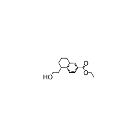 CCOC(=O)c1ccc2c(c1)CCCC2CCO